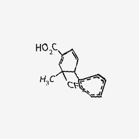 CC1(C(F)(F)F)C=C(C(=O)O)C=CC1c1ccccc1